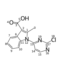 Cc1c(C(=O)O)c2ccccc2n1-c1ccnc(Cl)n1